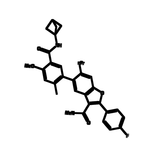 CCCc1cc2oc(-c3ccc(F)cc3)c(C(=O)NC)c2cc1-c1cc(C(=O)NC23CC(C2)C3)c(OC)cc1C